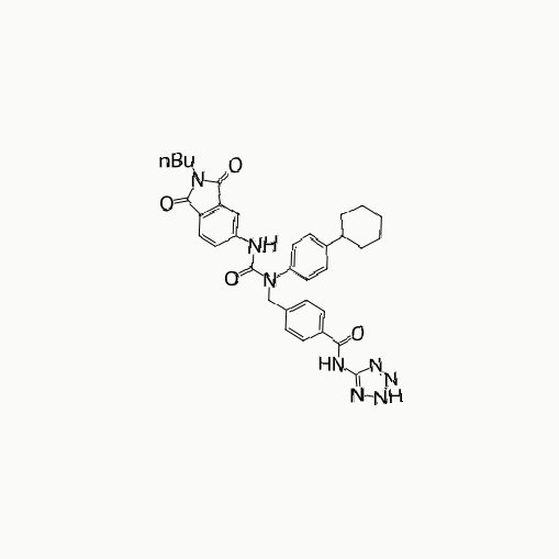 CCCCN1C(=O)c2ccc(NC(=O)N(Cc3ccc(C(=O)Nc4nn[nH]n4)cc3)c3ccc(C4CCCCC4)cc3)cc2C1=O